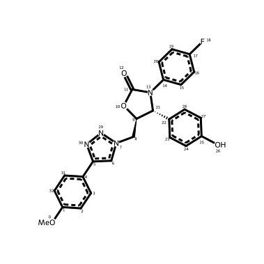 COc1ccc(-c2cn(C[C@H]3OC(=O)N(c4ccc(F)cc4)[C@@H]3c3ccc(O)cc3)nn2)cc1